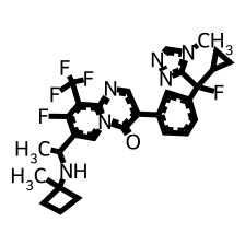 CC(NC1(C)CCC1)c1cn2c(=O)c(-c3cccc(C(F)(c4nncn4C)C4CC4)c3)cnc2c(C(F)(F)F)c1F